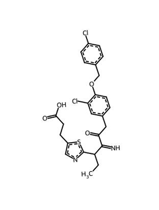 CCC(C(=N)C(=O)Cc1ccc(OCc2ccc(Cl)cc2)c(Cl)c1)c1ncc(CCC(=O)O)s1